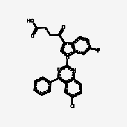 O=C(O)CCC(=O)c1cn(-c2nc(-c3ccccc3)c3cc(Cl)ccc3n2)c2cc(F)ccc12